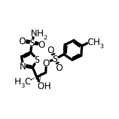 Cc1ccc(S(=O)(=O)OC[C@@](C)(O)c2ncc(S(N)(=O)=O)s2)cc1